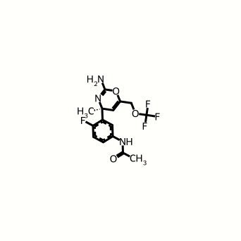 CC(=O)Nc1ccc(F)c([C@]2(C)C=C(COC(F)(F)F)OC(N)=N2)c1